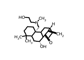 C=C1C(=O)[C@]23CC[C@H]1CC2[C@]1(CN(C)CCO)CCCC(C)(C)C1C[C@H]3O